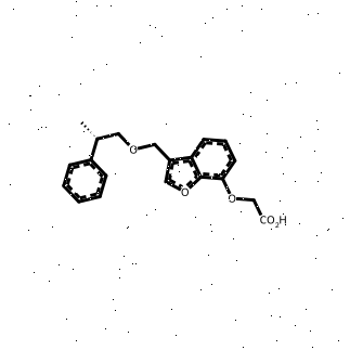 C[C@H](COCc1coc2c(OCC(=O)O)cccc12)c1ccccc1